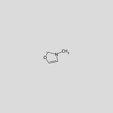 CN1[C]OC=C1